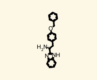 N[C@@H](Cc1ccc(OCc2ccccc2)cc1)c1nc2ccccc2[nH]1